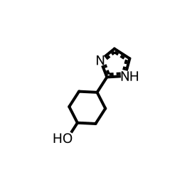 OC1CCC(c2ncc[nH]2)CC1